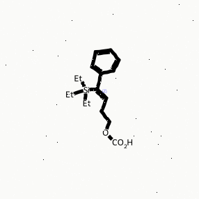 CC[Si](CC)(CC)/C(=C\CCOC(=O)O)c1ccccc1